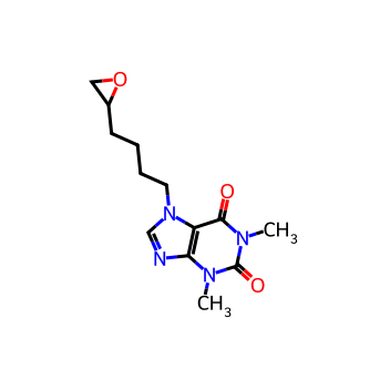 Cn1c(=O)c2c(ncn2CCCCC2CO2)n(C)c1=O